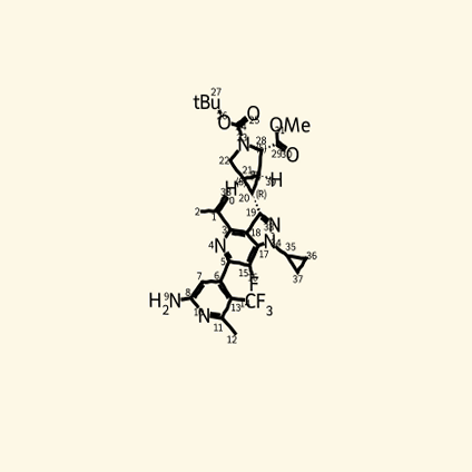 C=C(C)c1nc(-c2cc(N)nc(C)c2C(F)(F)F)c(F)c2c1c([C@@H]1[C@H]3CN(C(=O)OC(C)(C)C)[C@H](C(=O)OC)[C@H]31)nn2C1CC1